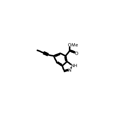 CC#Cc1cc(C(=O)OC)c2[nH]ncc2c1